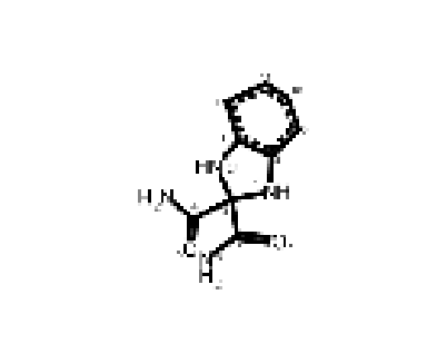 NC(=O)C1(C(N)=O)Nc2ccccc2N1